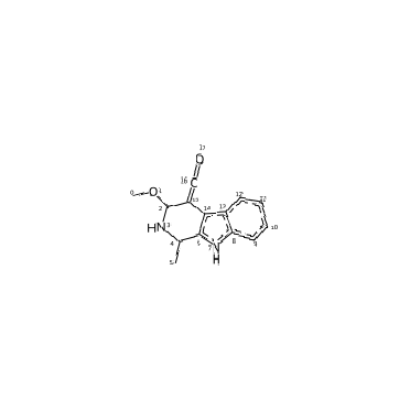 COC1NC(C)c2[nH]c3ccccc3c2C1=C=O